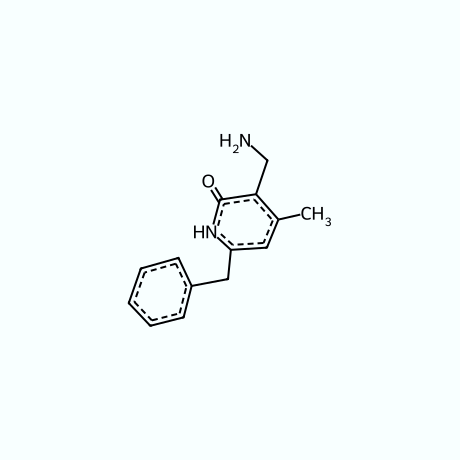 Cc1cc(Cc2ccccc2)[nH]c(=O)c1CN